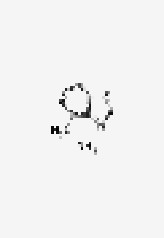 Cc1cccc2scnc12.N